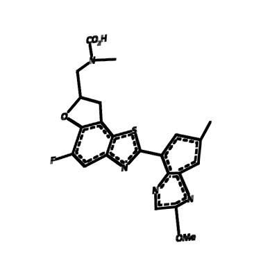 COc1cnc2c(-c3nc4cc(F)c5c(c4s3)CC(CN(C)C(=O)O)O5)cc(C)cc2n1